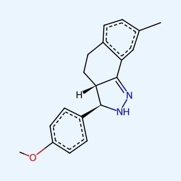 COc1ccc([C@@H]2NN=C3c4cc(C)ccc4CC[C@H]32)cc1